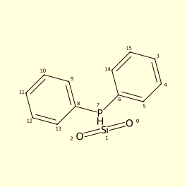 O=[Si]=O.c1ccc(Pc2ccccc2)cc1